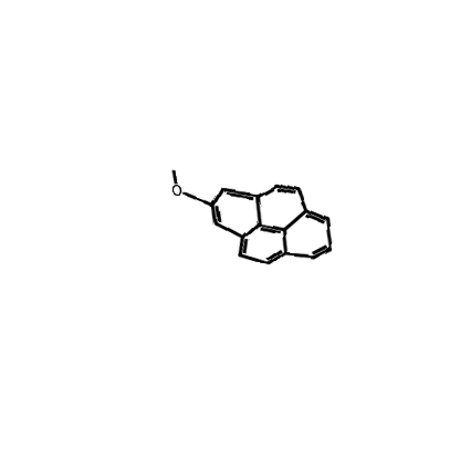 COc1cc2ccc3cccc4ccc(c1)c2c34